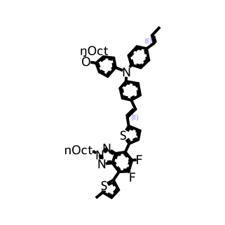 C/C=C/c1ccc(N(c2ccc(/C=C/c3ccc(-c4c(F)c(F)c(-c5ccc(C)s5)c5nn(CCCCCCCC)nc45)s3)cc2)c2ccc(OCCCCCCCC)cc2)cc1